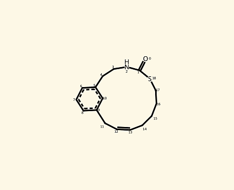 O=C1NCCc2cccc(c2)C/C=C\CCCCS1